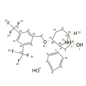 Cl.O[C@@H]1C[C@]2(c3ccccc3)N[C@H]1CC[C@H]2OCc1cc(C(F)(F)F)cc(C(F)(F)F)c1